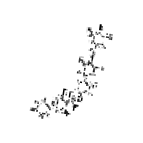 Cc1cc(-c2ccc(OC(F)(F)c3c(F)cc(-c4ccccc4)cc3F)cc2F)cc(F)c1C#Cc1cc(F)c(F)c(F)c1